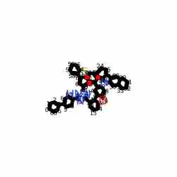 c1ccc(-c2ccc(C3N=C(c4cccc5oc6cc(-n7c8ccccc8c8cc9ccccc9cc87)c(-c7ccccc7)cc6c45)N=C(c4ccc5sc6ccccc6c5c4)N3)cc2)cc1